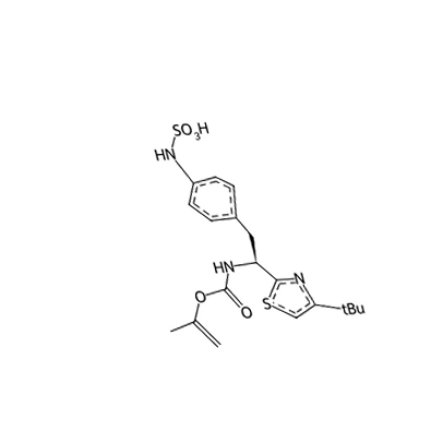 C=C(C)OC(=O)N[C@@H](Cc1ccc(NS(=O)(=O)O)cc1)c1nc(C(C)(C)C)cs1